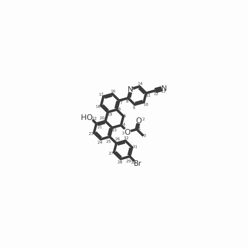 CC(=O)OC1Cc2c(-c3ccc(C#N)cn3)cccc2-c2c(O)ccc(-c3ccc(Br)cc3)c21